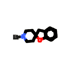 CCN1CCC2(CC1)Cc1ccccc1O2